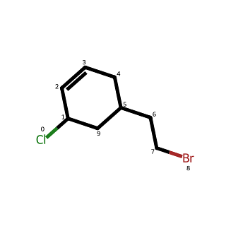 ClC1C=CCC(CCBr)C1